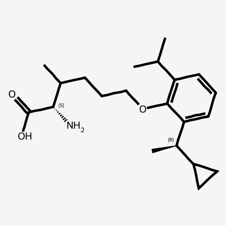 CC(C)c1cccc([C@H](C)C2CC2)c1OCCCC(C)[C@H](N)C(=O)O